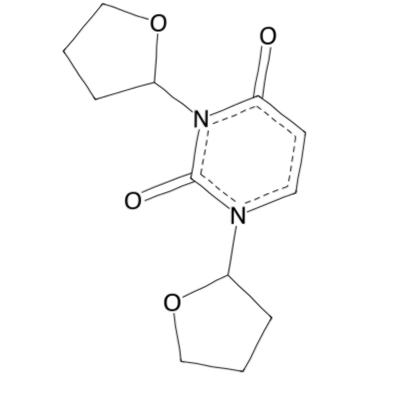 O=c1ccn(C2CCCO2)c(=O)n1C1CCCO1